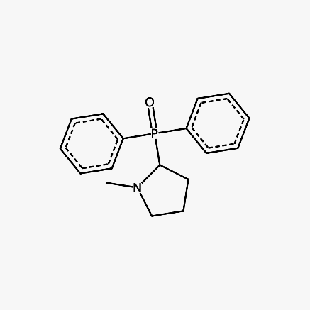 CN1CCCC1P(=O)(c1ccccc1)c1ccccc1